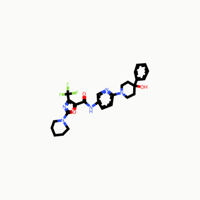 O=C(Nc1ccc(N2CCC(O)(c3ccccc3)CC2)nc1)c1oc(N2CCCCC2)nc1C(F)(F)F